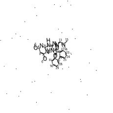 COc1cc(OC)nc(NC(=NN=CN(C)C)NS(=O)(=O)c2ccccc2-c2ccccc2)n1